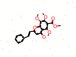 COC(=O)c1c(OC)c(OC)c2oc(/C=C/c3ccccc3)cc(=O)c2c1OC